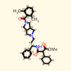 COC(=O)C(C(=O)N[C@@H](CCN1CC2CN(C(=O)c3c(C)cccc3C)CC2C1)c1ccccc1)C1CCCCC1